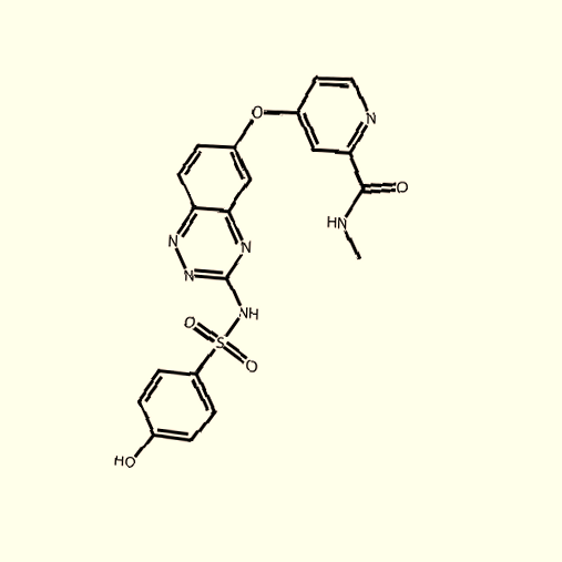 CNC(=O)c1cc(Oc2ccc3nnc(NS(=O)(=O)c4ccc(O)cc4)nc3c2)ccn1